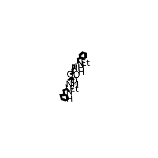 CCN[C@H](CNCC(=O)OC(=O)CNC[C@H](Cc1ccccc1)NCC)Cc1ccccc1